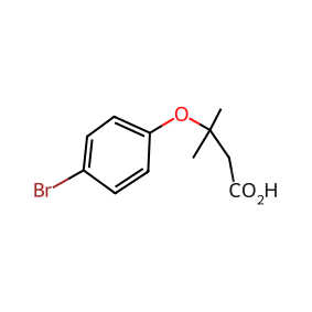 CC(C)(CC(=O)O)Oc1ccc(Br)cc1